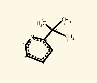 CC(C)(C)c1[c]cc[c]n1